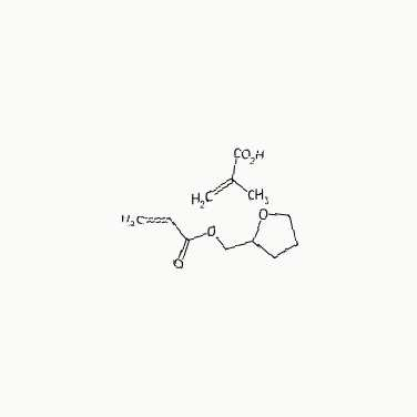 C=C(C)C(=O)O.C=CC(=O)OCC1CCCO1